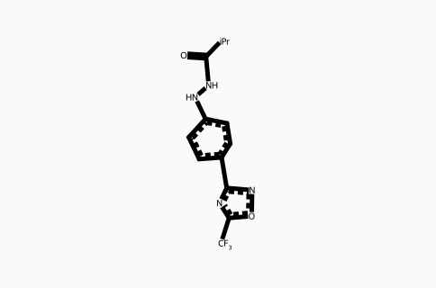 CC(C)C(=O)NNc1ccc(-c2noc(C(F)(F)F)n2)cc1